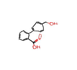 O=C(O)c1ccccc1-c1ccc(CO)cc1